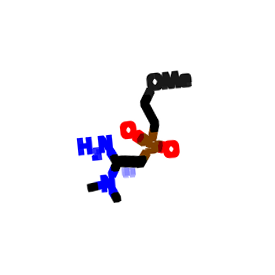 COCCS(=O)(=O)/C=C(\N)N(C)C